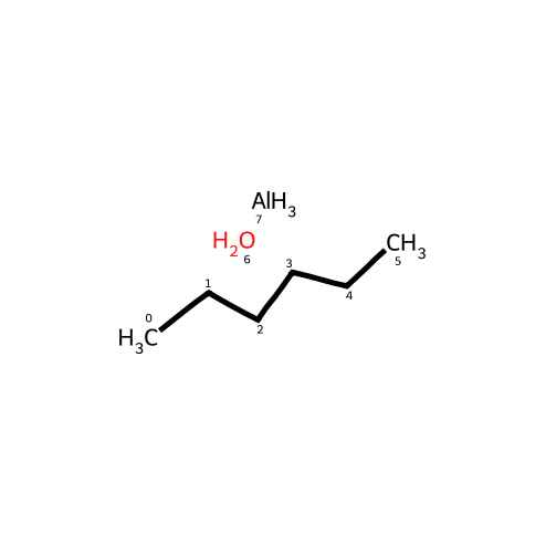 CCCCCC.O.[AlH3]